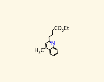 CCOC(=O)CCCc1cc(C)c2ccccc2n1